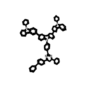 c1ccc(-c2ccc(-c3cc(-c4ccccc4)nc(-c4ccc(-n5c6ccc(-c7ccc8c(c7)c7ccccc7n8-c7ccccc7)cc6c6cc(-c7ccc8c(c7)c7ccccc7n8-c7ccccc7)ccc65)cc4)n3)cc2)cc1